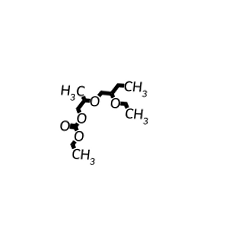 CCOC(=O)OCC(C)OCC(CC)OCC